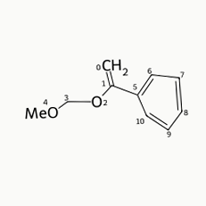 C=C(OCOC)c1ccccc1